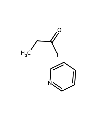 CCC(=O)I.c1ccncc1